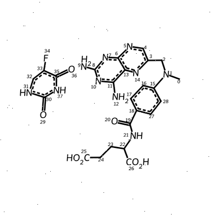 CN(Cc1cnc2nc(N)nc(N)c2n1)c1ccc(C(=O)NC(CCC(=O)O)C(=O)O)cc1.O=c1[nH]cc(F)c(=O)[nH]1